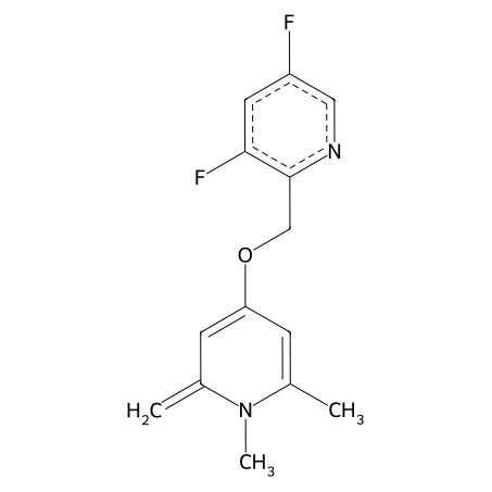 C=C1C=C(OCc2ncc(F)cc2F)C=C(C)N1C